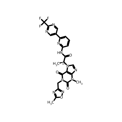 Cc1nc(Cn2c(=O)c3c(ncn3[C@@H](C)C(=O)Nc3cccc(-c4cnc(C(F)(F)F)nc4)n3)n(C)c2=O)no1